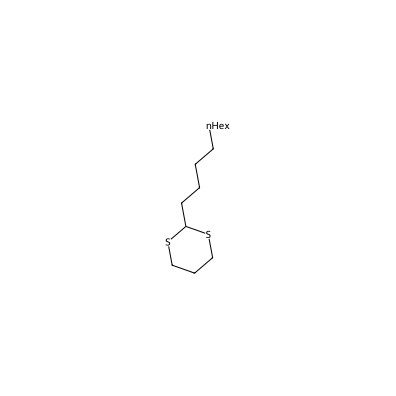 CCCCCCCCCCC1SCCCS1